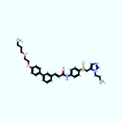 CCCCOCCOc1ccc(-c2cccc(/C=C/C(=O)Nc3ccc([S@+]([O-])Cc4cncn4CCC)cc3)c2)cc1